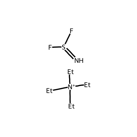 CC[N+](CC)(CC)CC.N=S(F)F